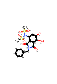 CS(=O)(=O)N(c1cc(O)c(O)c2c1C(=O)N(Cc1ccccc1)C2=O)S(C)(=O)=O